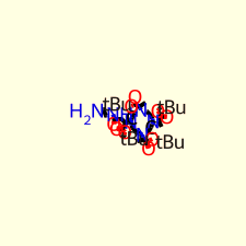 CC(C(=O)OC(C)(C)C)N1CCN(C(C)C(=O)OC(C)(C)C)CCN(C(CC(=O)NCCN)C(=O)OC(C)(C)C)CCN(C(C)C(=O)OC(C)(C)C)CC1